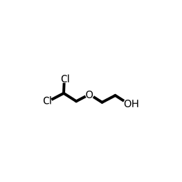 OCCOCC(Cl)Cl